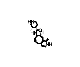 C=C1NC=CC2=C1/C=C(/Cl)C(NC(=O)[C@H]1CCNC[C@H]1C)C#CC2